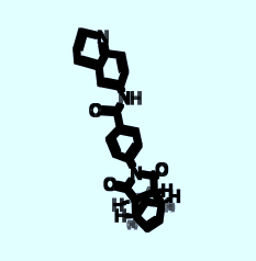 O=C(Nc1ccc2ncccc2c1)c1ccc(N2C(=O)[C@H]3[C@H](C2=O)[C@H]2C=C[C@H]3C2)cc1